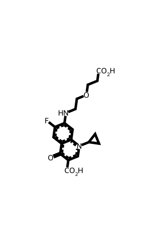 O=C(O)CCOCCNc1cc2c(cc1F)c(=O)c(C(=O)O)cn2C1CC1